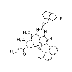 C#Cc1c(F)ccc2cccc(-c3ncc4c(N(C)[C@H]5CCN(C(=O)C=C)[C@H]5C)nc(OC[C@@]56CCCN5C[C@H](F)C6)nc4c3F)c12